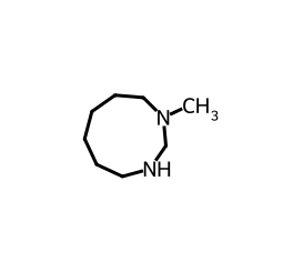 CN1CCCCCCNC1